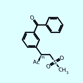 CC(=O)[C@H](CS(C)(=O)=O)c1cccc(C(=O)c2ccccc2)c1